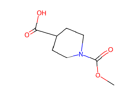 COC(=O)N1CCC(C(=O)O)CC1